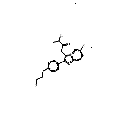 CCN(C)C(=O)Cc1c(-c2ccc(CCCF)cc2)nc2ccc(Cl)cn12